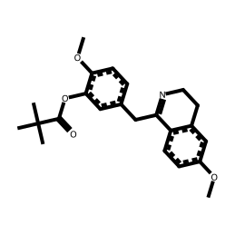 COc1ccc2c(c1)CCN=C2Cc1ccc(OC)c(OC(=O)C(C)(C)C)c1